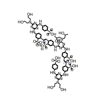 CC(O)CN(CC(C)O)C1N=C(Nc2ccc(/C=C/c3ccc(Nc4nc(Nc5ccc(S(=O)(=O)O)cc5)nc(N(CCO)CCO)n4)cc3S(=O)(=O)O)c(S(=O)(=O)O)c2)N=C(Nc2ccc(/C=C/c3ccc(Nc4nc(Nc5ccc(S(=O)(=O)O)cc5)nc(N(CCO)CCO)n4)cc3S(=O)(=O)O)c(S(=O)(=O)O)c2)N1